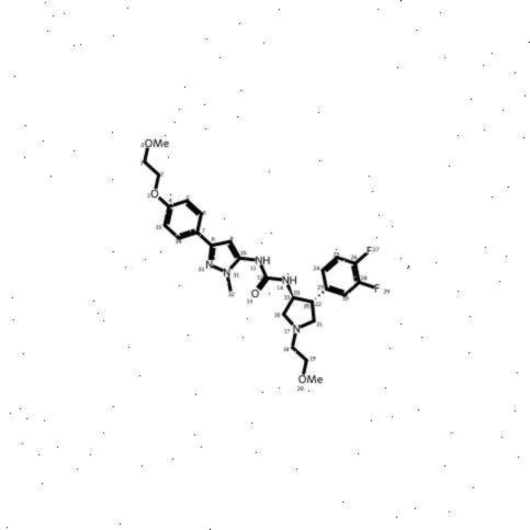 COCCOc1ccc(-c2cc(NC(=O)N[C@@H]3CN(CCOC)C[C@H]3c3ccc(F)c(F)c3)n(C)n2)cc1